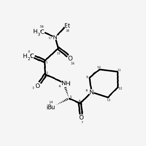 C=C(C(=O)N[C@H](C(=O)N1CCCCC1)[C@@H](C)CC)C(=O)N(C)CC